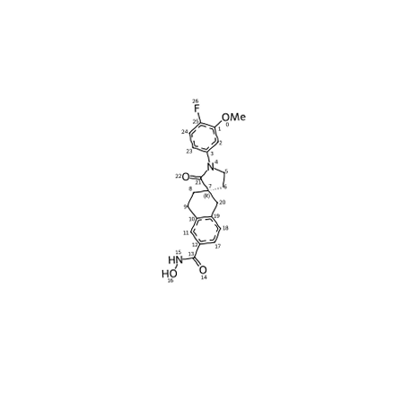 COc1cc(N2CC[C@]3(CCc4cc(C(=O)NO)ccc4C3)C2=O)ccc1F